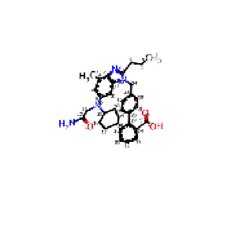 CCCc1nc2c(C)cc(N(CC(N)=O)C3CCCCC3)cc2n1Cc1ccc(-c2ccccc2C(=O)O)cc1